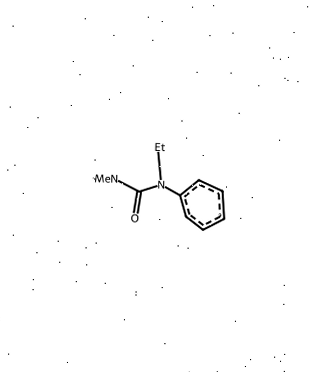 CCN(C(=O)[N]C)c1ccccc1